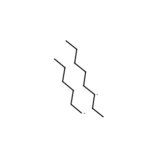 CC[CH]CCCCC.[CH2]CCCCC